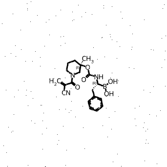 C=C(C#N)C(=O)N1CCC[C@@](C)(OC(=O)N[C@@H](Cc2ccccc2)B(O)O)C1